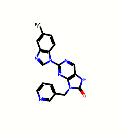 O=c1[nH]c2cnc(-n3cnc4cc(C(F)(F)F)ccc43)nc2n1Cc1cccnc1